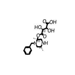 C[C@@H]1CN(Cc2ccccc2)[C@@](C)(OC(=O)[C@@H](O)C(O)C(=O)O)CN1